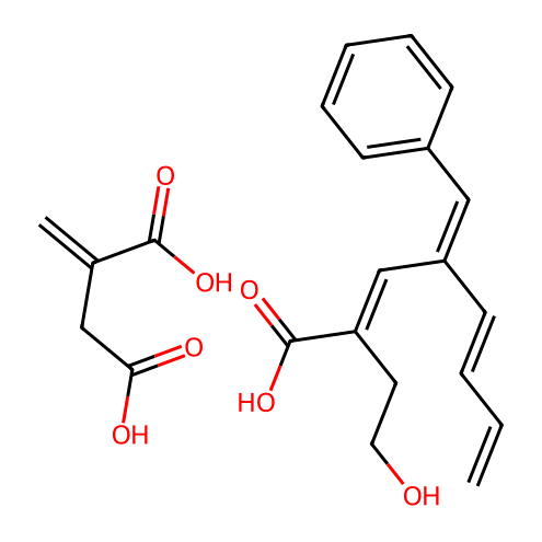 C=C(CC(=O)O)C(=O)O.C=CC=CC(=Cc1ccccc1)C=C(CCO)C(=O)O